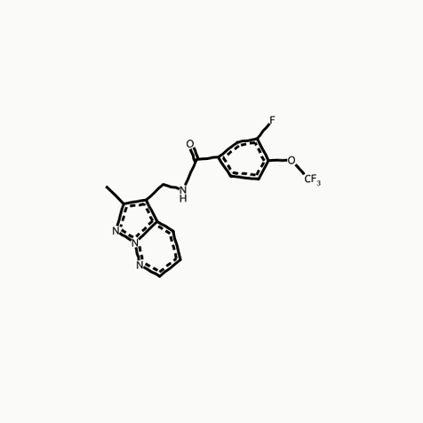 Cc1nn2ncccc2c1CNC(=O)c1ccc(OC(F)(F)F)c(F)c1